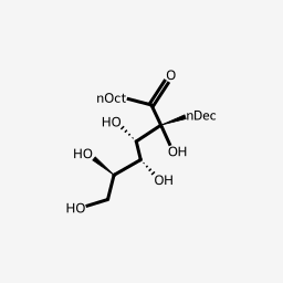 CCCCCCCCCC[C@](O)(C(=O)CCCCCCCC)[C@@H](O)[C@H](O)[C@H](O)CO